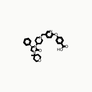 CC1(N2C[C@@H](c3ccccc3)N(C3CCN(Cc4ccc(Oc5ccc(C(=O)O)cc5)nc4)CC3)C2=O)CCOCC1